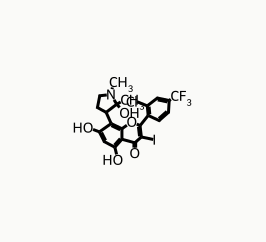 CN1CCC(c2c(O)cc(O)c3c(=O)c(I)c(-c4ccc(C(F)(F)F)cc4Cl)oc23)C1(C)O